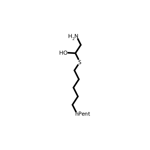 CCCCCCCCCCSC(O)CN